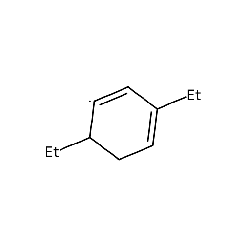 CCC1=CCC(CC)[C]=C1